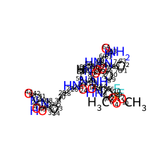 CCOP(=O)(OCC)C(F)(F)c1ccc2[nH]c(C(=O)N[C@H]3CN(C(=O)NCCCCC#Cc4cccc5c4CN(C4CCC(=O)NC4=O)C5=O)CC[C@H]4CC[C@@H](C(=O)N[C@@H](CCC(N)=O)C(=O)NC(c5ccccc5)c5ccccc5)N4C3=O)cc2c1